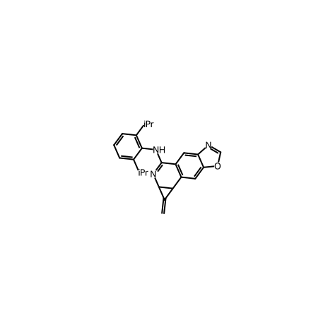 C=C1C2N=C(Nc3c(C(C)C)cccc3C(C)C)c3cc4ncoc4cc3C12